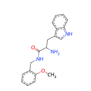 COc1ccccc1CNC(=O)C(N)Cc1c[nH]c2ccccc12